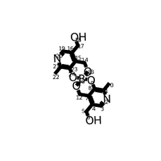 Cc1ncc(CO)c2c1O[B-]1(OC2)OCc2c(CO)cnc(C)c2O1